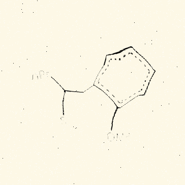 CCCC([S])c1ccccc1OC